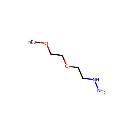 CCCCOCCOCCNN